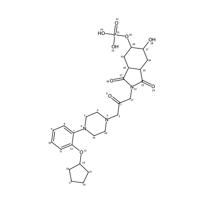 O=C(CN1CCN(c2ccccc2OC2CCCC2)CC1)CN1C(=O)C2CC(O)C(OP(=O)(O)O)CC2C1=O